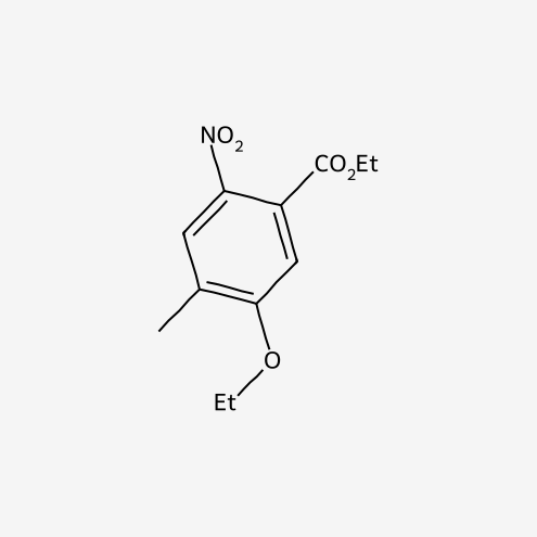 CCOC(=O)c1cc(OCC)c(C)cc1[N+](=O)[O-]